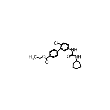 CCOC(=O)c1ccc(-c2cc(NC(=O)NC3CCCCC3)ccc2Cl)cc1